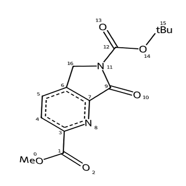 COC(=O)c1ccc2c(n1)C(=O)N(C(=O)OC(C)(C)C)C2